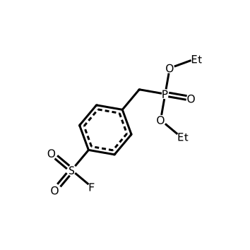 CCOP(=O)(Cc1ccc(S(=O)(=O)F)cc1)OCC